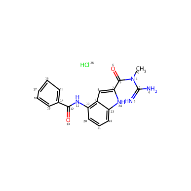 CN(C(=N)N)C(=O)c1cc2c(NC(=O)c3ccccc3)cccc2[nH]1.Cl